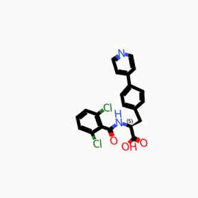 O=C(N[C@@H](Cc1ccc(-c2ccncc2)cc1)C(=O)O)c1c(Cl)cccc1Cl